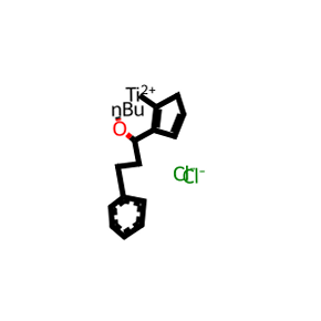 CCCCOC(CCc1ccccc1)C1=[C]([Ti+2])CC=C1.[Cl-].[Cl-]